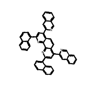 c1ccc2cc(-c3cc(-c4cccc5ccccc45)nc4c3ccc3c(-c5cc6ccccc6cn5)cc(-c5cccc6ccccc56)nc34)ncc2c1